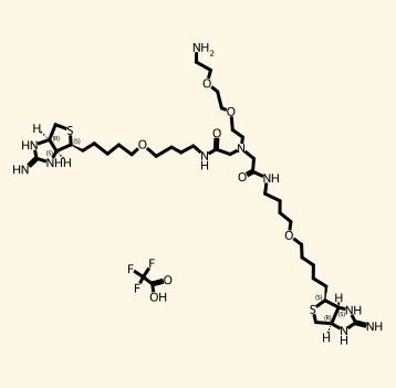 N=C1N[C@H]2[C@H](CS[C@H]2CCCCCOCCCCNC(=O)CN(CCOCCOCCN)CC(=O)NCCCCOCCCCC[C@@H]2SC[C@@H]3NC(=N)N[C@@H]32)N1.O=C(O)C(F)(F)F